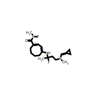 CN(C=C1CC1)CCC(C)(F)N/C1=C/C=C(/C(=O)N(C)F)CCCC1